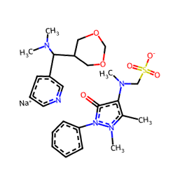 CN(C)C(c1cccnc1)C1COCOC1.Cc1c(N(C)CS(=O)(=O)[O-])c(=O)n(-c2ccccc2)n1C.[Na+]